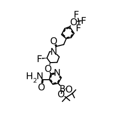 CC1(C)OB(c2cnc(O[C@@H]3CCN(C(=O)Cc4ccc(OC(F)(F)F)cc4)C[C@@H]3F)c(C(N)=O)c2)OC1(C)C